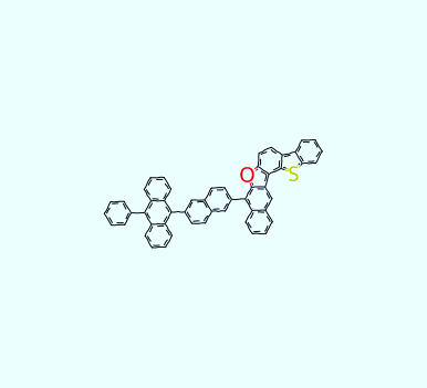 c1ccc(-c2c3ccccc3c(-c3ccc4cc(-c5c6ccccc6cc6c5oc5ccc7c8ccccc8sc7c56)ccc4c3)c3ccccc23)cc1